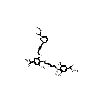 COC(=O)c1cc(OC)c(NC/C=C/CNc2c(OCC#CC3CCCN(C(=O)OC(C)(C)C)C3)cc(C(N)=O)cc2[N+](=O)[O-])c([N+](=O)[O-])c1